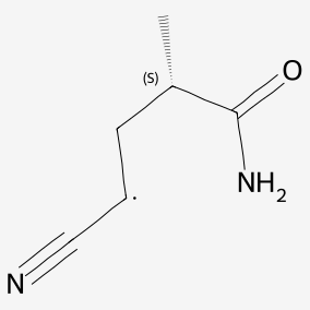 C[C@@H](C[CH]C#N)C(N)=O